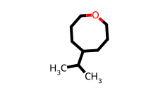 CC(C)C1CCCOCCC1